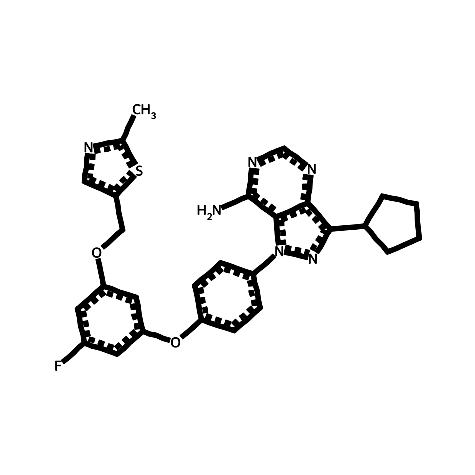 Cc1ncc(COc2cc(F)cc(Oc3ccc(-n4nc(C5CCCC5)c5ncnc(N)c54)cc3)c2)s1